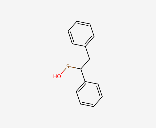 OSC(Cc1ccccc1)c1ccccc1